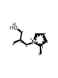 Cc1cccn1CC(C)CO